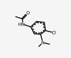 CC(=O)Nc1ccc(Cl)c(N(C)C)c1